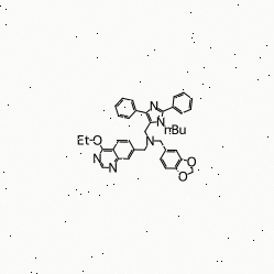 CCCCn1c(-c2ccccc2)nc(-c2ccccc2)c1CN(Cc1ccc2c(c1)OCO2)Cc1ccc2c(OCC)ncnc2c1